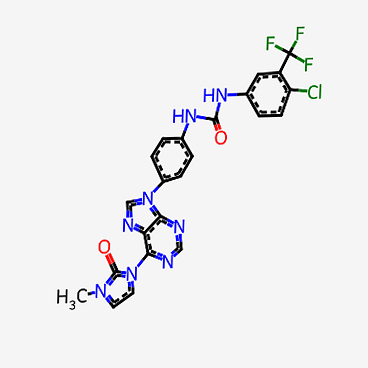 Cn1ccn(-c2ncnc3c2ncn3-c2ccc(NC(=O)Nc3ccc(Cl)c(C(F)(F)F)c3)cc2)c1=O